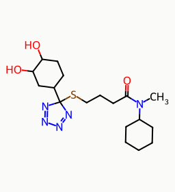 CN(C(=O)CCCSC1(C2CCC(O)C(O)C2)N=NN=N1)C1CCCCC1